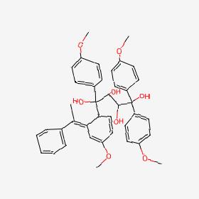 COC1=CC(=C(C)c2ccccc2)C(C(O)(c2ccc(OC)cc2)C(O)C(O)C(O)(c2ccc(OC)cc2)c2ccc(OC)cc2)C=C1